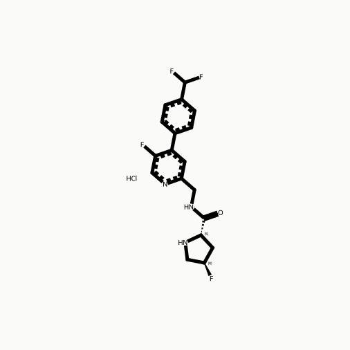 Cl.O=C(NCc1cc(-c2ccc(C(F)F)cc2)c(F)cn1)[C@@H]1C[C@@H](F)CN1